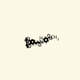 COC(=O)[C@H]1CC[C@H](CNC(=O)CCc2ccc(C3OCCO3)c(C3OCCO3)c2)CC1